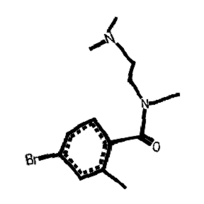 Cc1cc(Br)ccc1C(=O)N(C)CCN(C)C